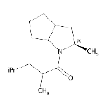 CC(C)CC(C)C(=O)N1C2CCCC2C[C@H]1C